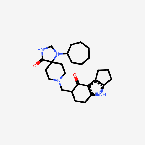 O=C1c2c([nH]c3c2CCC3)CCC1CN1CCC2(CC1)C(=O)NCN2C1CCCCCC1